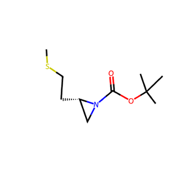 CSCC[C@H]1CN1C(=O)OC(C)(C)C